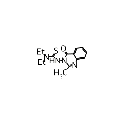 CCN(CC)C(=S)Nn1c(C)nc2ccccc2c1=O